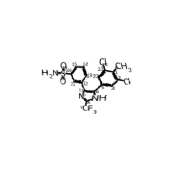 Cc1c(Cl)cc(-c2[nH]c(C(F)(F)F)nc2-c2cccc(S(N)(=O)=O)c2)cc1Cl